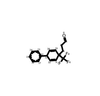 O=CCCC1(C(F)(F)F)C=CC(c2ccccc2)C=C1